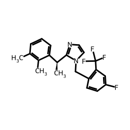 Cc1cccc([C@H](C)c2nccn2Cc2ccc(F)cc2C(F)(F)F)c1C